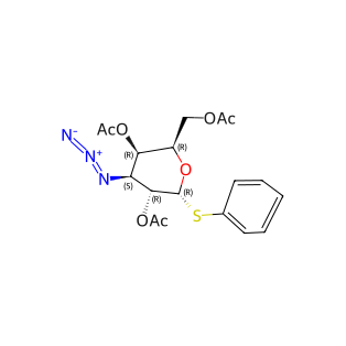 CC(=O)OC[C@H]1O[C@H](Sc2ccccc2)[C@H](OC(C)=O)[C@@H](N=[N+]=[N-])[C@H]1OC(C)=O